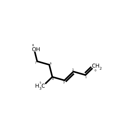 C=CC=CC(C)CCO